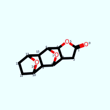 O=C1CC2C(O1)C1OC2C2C3CCC(O3)C12